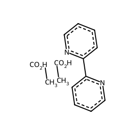 CC(=O)O.CC(=O)O.c1ccc(-c2ccccn2)nc1